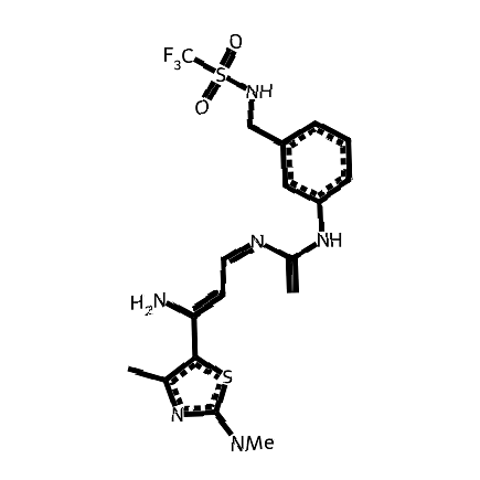 C=C(/N=C\C=C(/N)c1sc(NC)nc1C)Nc1cccc(CNS(=O)(=O)C(F)(F)F)c1